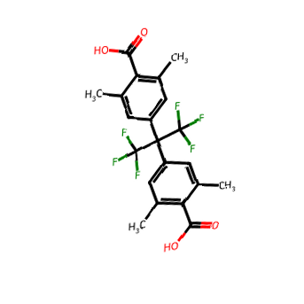 Cc1cc(C(c2cc(C)c(C(=O)O)c(C)c2)(C(F)(F)F)C(F)(F)F)cc(C)c1C(=O)O